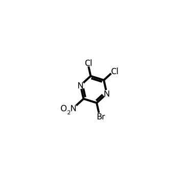 O=[N+]([O-])c1nc(Cl)c(Cl)nc1Br